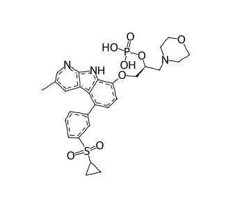 Cc1cnc2[nH]c3c(OC[C@H](CN4CCOCC4)OP(=O)(O)O)ccc(-c4cccc(S(=O)(=O)C5CC5)c4)c3c2c1